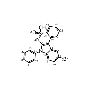 CS1(=O)=Nc2c(c3cc(Br)ccc3n2-c2ccccc2)-c2ccccc21